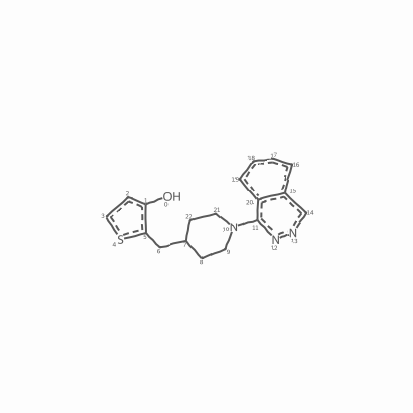 Oc1ccsc1CC1CCN(c2nncc3ccccc23)CC1